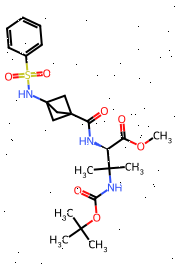 COC(=O)[C@H](NC(=O)C12CC(NS(=O)(=O)c3ccccc3)(C1)C2)C(C)(C)NC(=O)OC(C)(C)C